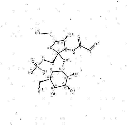 O=CC(=O)O[C@H]1[C@H](O)[C@@H](CO)O[C@@]1(COP(=O)(O)O)O[C@H]1O[C@H](CO)[C@@H](O)[C@H](O)[C@H]1O